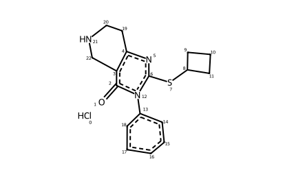 Cl.O=c1c2c(nc(SC3CCC3)n1-c1ccccc1)CCNC2